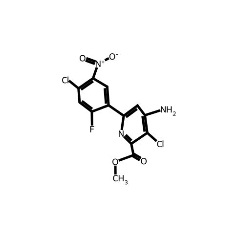 COC(=O)c1nc(-c2cc([N+](=O)[O-])c(Cl)cc2F)cc(N)c1Cl